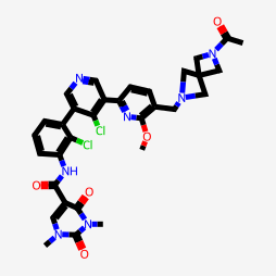 COc1nc(-c2cncc(-c3cccc(NC(=O)c4cn(C)c(=O)n(C)c4=O)c3Cl)c2Cl)ccc1CN1CC2(C1)CN(C(C)=O)C2